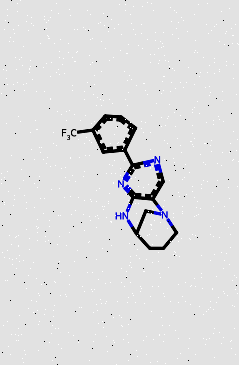 FC(F)(F)c1cccc(-c2ncc3c(n2)NC2CCCN3C2)c1